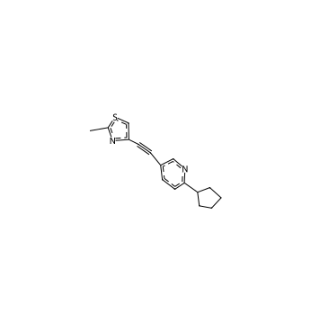 Cc1nc(C#Cc2ccc(C3CCCC3)nc2)cs1